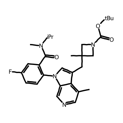 Cc1cncc2c1c(CC1(C)CN(C(=O)OC(C)(C)C)C1)cn2-c1ccc(F)cc1C(=O)N(C)C(C)C